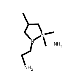 CC1CN(CCN)[Si](C)(C)C1.N